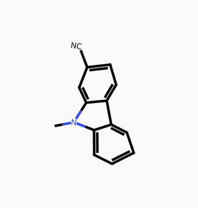 Cn1c2ccccc2c2ccc(C#N)cc21